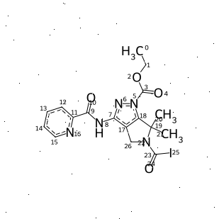 CCOC(=O)n1nc(NC(=O)c2ccccn2)c2c1C(C)(C)N(C(=O)I)C2